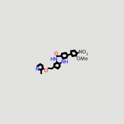 COc1cc(-c2ccc3c(c2)Nc2ccc(CCOc4cccnc4C)cc2NC3=O)ccc1[N+](=O)[O-]